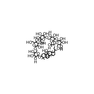 C[C@H](CC[C@@H](O[C@@H]1OC(CO[C@@H]2OC(CO)[C@@H](O)C(O)[C@@H]2O)[C@@H](O)C(O)[C@@H]1O[C@@H]1OC(CO)[C@@H](O)C(O)[C@@H]1O)C(C)(C)O)[C@H]1CC[C@@]2(C)[C@@H]3CC=C4[C@@H](CC[C@H](O[C@@H]5OC(CO[C@@H]6OC(CO)[C@@H](O)C(O)[C@@H]6O)[C@@H](O)C(O)[C@@H]5O)C4(C)C)[C@]3(C)[C@H](O)C[C@]12C